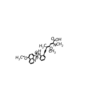 C=N/C(=C\C(OC)=C(/C)C#Cc1ccccc1NS(=O)(=O)c1ccc(OCC)c2cccnc12)C(=O)O